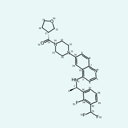 C[C@@H](Nc1ccnc2ccc(N3CCN(C(=O)[C@@H]4CCOC4)CC3)cc12)c1cccc(C(F)F)c1F